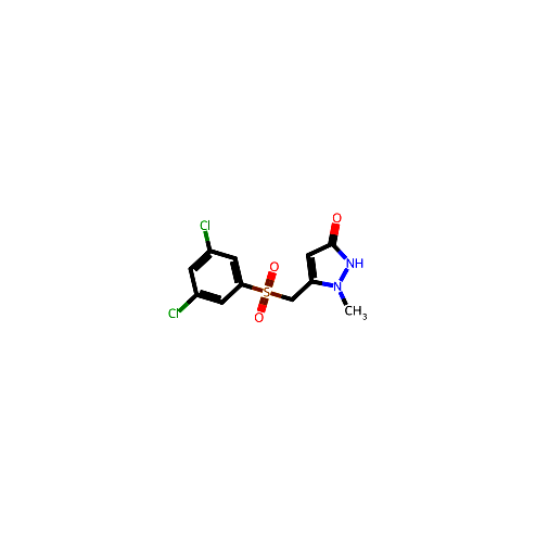 Cn1[nH]c(=O)cc1CS(=O)(=O)c1cc(Cl)cc(Cl)c1